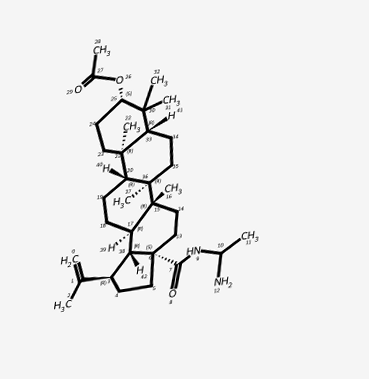 C=C(C)[C@@H]1CC[C@]2(C(=O)NC(C)N)CC[C@]3(C)[C@H](CC[C@@H]4[C@@]5(C)CC[C@H](OC(C)=O)C(C)(C)[C@@H]5CC[C@]43C)[C@@H]12